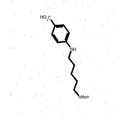 CCCCCCCCCCCCCCNc1ccc(C(=O)O)cc1